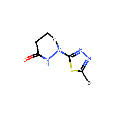 CCc1nnc(N2CCCC(=O)N2)s1